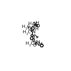 COc1cc(C(=O)N2[C@H]3CC[C@@H]2[C@H](N)C3)cc2nc(-c3cc4ccc([C@@H](C)NC(=O)NCc5ccccc5)nc4n3CC3CC3)c(C)n12